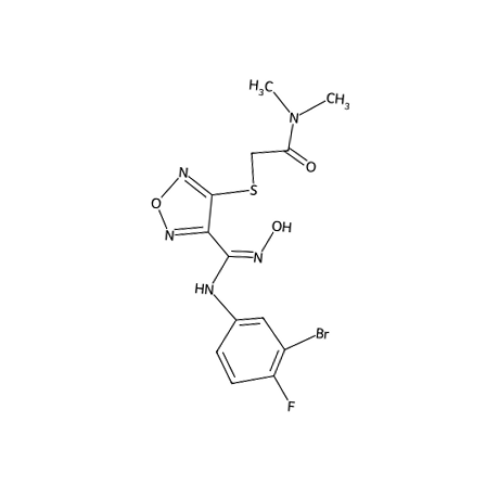 CN(C)C(=O)CSc1nonc1C(=NO)Nc1ccc(F)c(Br)c1